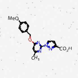 COc1ccc(COc2cc(C)nc(-n3ccc(C(=O)O)n3)n2)cc1